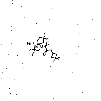 O=C(CC1CC(F)(F)C1)C(=O)N1CC(F)(F)[C@@H](O)[C@]12CCC(F)(F)C2